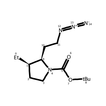 CC[C@@H]1CCN(C(=O)OC(C)(C)C)[C@@H]1CCN=[N+]=[N-]